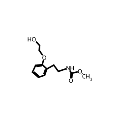 COC(=O)NCCc1ccccc1OCCO